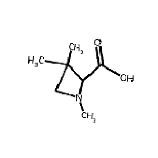 CN1CC(C)(C)C1C(=O)O